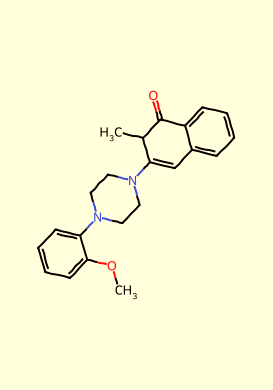 COc1ccccc1N1CCN(C2=Cc3ccccc3C(=O)C2C)CC1